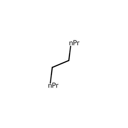 C[CH]CCCCCC